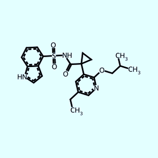 CCc1cnc(OCC(C)C)c(C2(C(=O)NS(=O)(=O)c3cccc4[nH]ccc34)CC2)c1